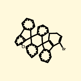 Clc1cccc2c1C1(c3ccccc3-2)c2ccccc2C2(C3=C(C(Br)=CCC3)c3ccccc32)c2ccccc21